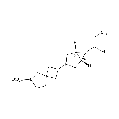 CCOC(=O)N1CCC2(CC(N3C[C@@H]4C(C(CC)CC(F)(F)F)[C@@H]4C3)C2)C1